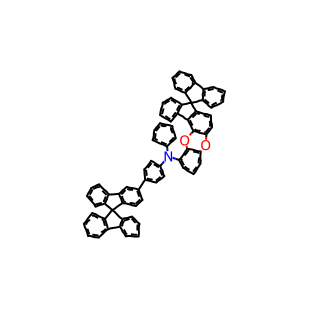 c1ccc(N(c2ccc(-c3ccc4c(c3)-c3ccccc3C43c4ccccc4-c4ccccc43)cc2)c2cccc3c2Oc2c(ccc4c2-c2ccccc2C42c4ccccc4-c4ccccc42)O3)cc1